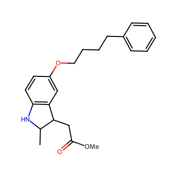 COC(=O)CC1c2cc(OCCCCc3ccccc3)ccc2NC1C